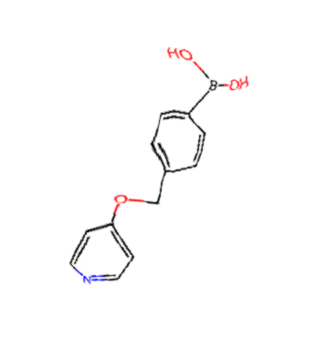 OB(O)c1ccc(COc2ccncc2)cc1